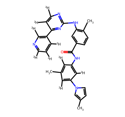 [2H]c1nc(Nc2cc(C(=O)Nc3c([2H])c(C)c([2H])c(-n4ccc(C)c4)c3[2H])ccc2C)nc(-c2c([2H])nc([2H])c([2H])c2[2H])c1[2H]